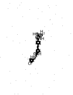 NC[C@H](NC(=O)c1ccc(C#Cc2ccc(NC(=O)CNCc3cccc(Cl)c3)cc2)cc1)C(=O)NO